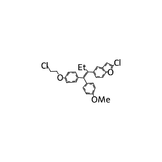 CC/C(=C(/c1ccc(OC)cc1)c1ccc(OCCCl)cc1)c1ccc2oc(Cl)cc2c1